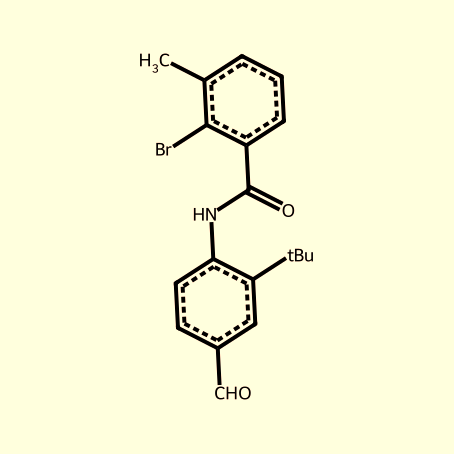 Cc1cccc(C(=O)Nc2ccc(C=O)cc2C(C)(C)C)c1Br